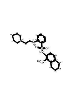 O=C(O)c1c(NS(=O)(=O)c2ccccc2NCCN2CCCCC2)ccc2c1CCCC2